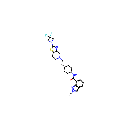 Cn1cc2cccc(C(=O)N[C@H]3CC[C@H](CCN4CCc5sc(N6CC(F)(F)C6)nc5C4)CC3)c2n1